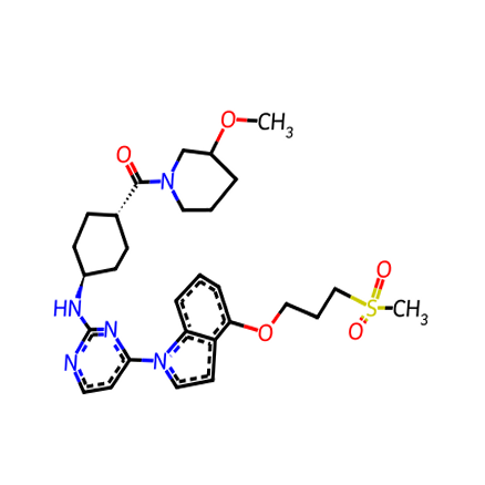 COC1CCCN(C(=O)[C@H]2CC[C@H](Nc3nccc(-n4ccc5c(OCCCS(C)(=O)=O)cccc54)n3)CC2)C1